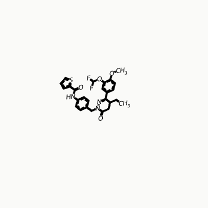 CCC1CC(=O)N(Cc2ccc(NC(=O)c3cccs3)cc2)N=C1c1ccc(OC)c(OC(F)F)c1